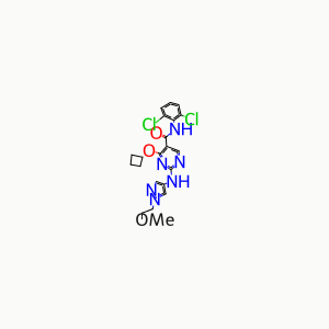 COCCn1cc(Nc2ncc(C(=O)Nc3c(Cl)cccc3Cl)c(OC3CCC3)n2)cn1